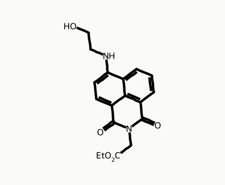 CCOC(=O)CN1C(=O)c2cccc3c(NCCO)ccc(c23)C1=O